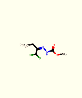 CCOC(=O)C/C(=N/NC(=O)OC(C)(C)C)C(F)F